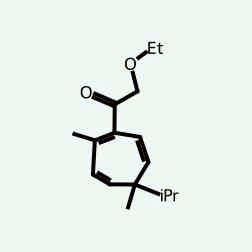 CCOCC(=O)C1=C(C)C=CC(C)(C(C)C)C=C1